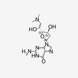 CN(C)C=C(O)[C@H]1O[C@@H](n2cnc3c(=O)[nH]c(N)nc32)C[C@@H]1O